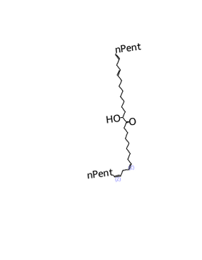 CCCCCC=CCC=CCCCCCCCC(O)C(=O)CCCCCCC/C=C\C/C=C\CCCCC